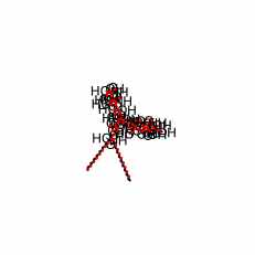 CCCCCCCCCCCCC/C=C/[C@@H](O)[C@H](CO[C@@H]1OC(CO)[C@@H](O[C@@H]2OC(CO[C@@H]3OC(CO)[C@@H](O[C@@H]4OC(CO)[C@H](O)[C@H](O[C@]5(C(=O)O)CC(O)[C@@H](NC(C)=O)C([C@H](O)[C@H](O)CO)O5)C4O)[C@H](O)C3NC(C)=O)[C@H](O)[C@H](O[C@H]3OC(CO)[C@H](O)[C@H](O[C@@H]4OC(CO)[C@H](O)[C@H](O[C@H]5OC(CO)[C@H](O)[C@H](O)C5NC(C)=O)C4NC(C)=O)C3O)C2O)[C@H](O)C1O)NC(=O)CCCCCCCCCCCCCCCCC